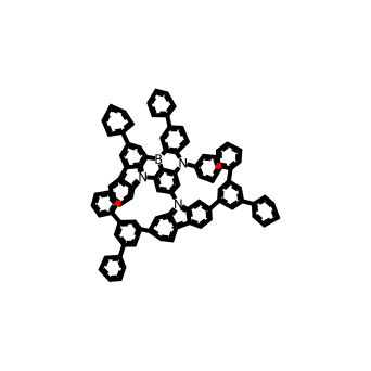 c1ccc(-c2cc(-c3ccccc3)cc(-c3ccc4c5ccc(-c6cc(-c7ccccc7)cc(-c7ccccc7)c6)cc5n(-c5cc6c7c(c5)-n5c8ccccc8c8cc(-c9ccccc9)cc(c85)B7c5cc(-c7ccccc7)ccc5N6c5ccccc5)c4c3)c2)cc1